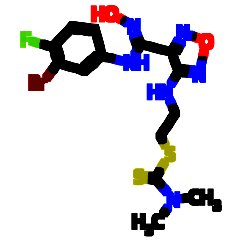 CN(C)C(=S)SCCNc1nonc1/C(=N/O)Nc1ccc(F)c(Br)c1